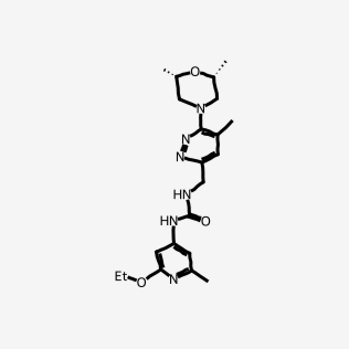 CCOc1cc(NC(=O)NCc2cc(C)c(N3C[C@@H](C)O[C@@H](C)C3)nn2)cc(C)n1